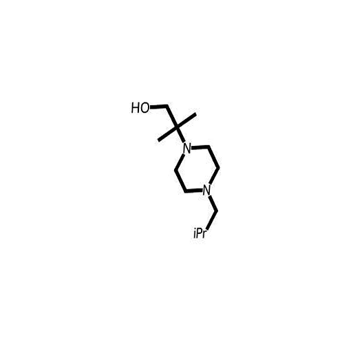 CC(C)CN1CCN(C(C)(C)CO)CC1